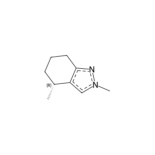 C[C@@H]1CCCc2nn(C)cc21